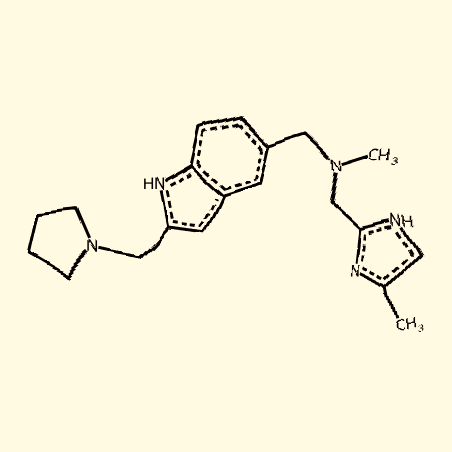 Cc1c[nH]c(CN(C)Cc2ccc3[nH]c(CN4CCCC4)cc3c2)n1